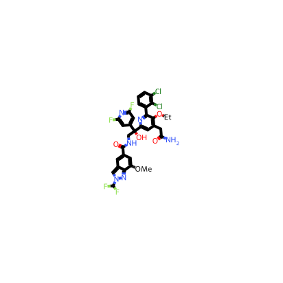 CCOc1c(CC(N)=O)cc(C(O)(CNC(=O)c2cc(OC)c3nn(C(F)F)cc3c2)c2cc(F)nc(F)c2)nc1-c1cccc(Cl)c1Cl